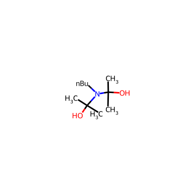 CCCCN(C(C)(C)O)C(C)(C)O